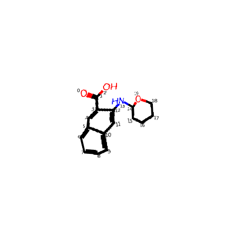 O=C(O)c1cc2ccccc2cc1NC1CCCCO1